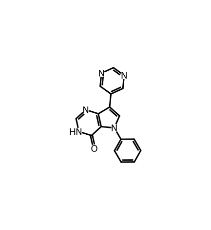 O=c1[nH]cnc2c(-c3cncnc3)cn(-c3ccccc3)c12